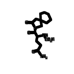 NC(=O)CCC(NC(=O)O)C(=O)N1CC2(CCCCC2)CC1=O